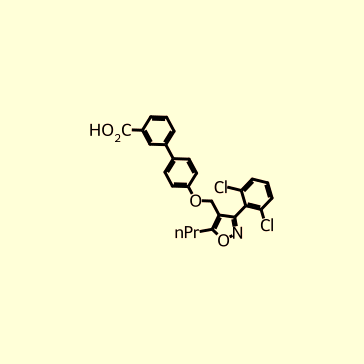 CCCc1onc(-c2c(Cl)cccc2Cl)c1COc1ccc(-c2cccc(C(=O)O)c2)cc1